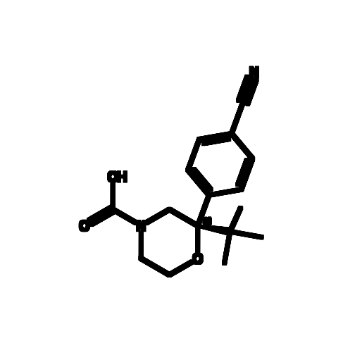 CC(C)(C)[C@]1(c2ccc(C#N)cc2)CN(C(=O)O)CCO1